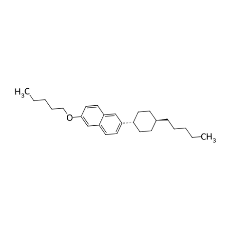 CCCCCOc1ccc2cc([C@H]3CC[C@H](CCCCC)CC3)ccc2c1